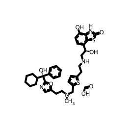 CN(CCc1cnc([C@](O)(c2ccccc2)C2CCCCC2)o1)Cc1ccc(CCNC[C@H](O)c2ccc(O)c3[nH]c(=O)sc23)s1.O=CO